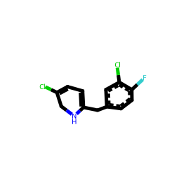 Fc1ccc(CC2=CC=C(Cl)CN2)cc1Cl